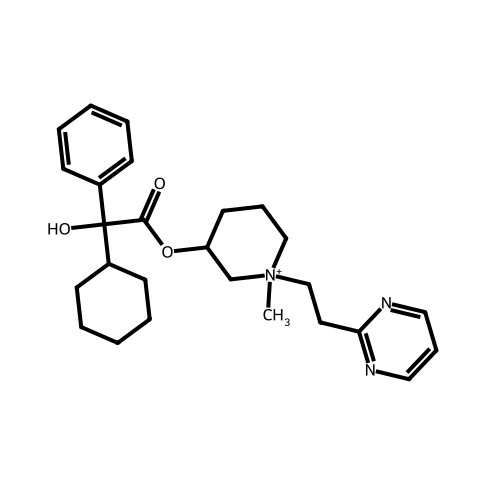 C[N+]1(CCc2ncccn2)CCCC(OC(=O)C(O)(c2ccccc2)C2CCCCC2)C1